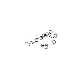 CC(Cc1ccc(OCc2ccc(CN)cc2)cc1)NCCC(c1ccccc1)c1ccccc1.Cl.Cl